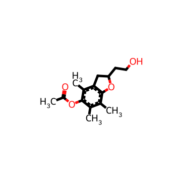 CC(=O)Oc1c(C)c(C)c2c(c1C)CC(CCO)O2